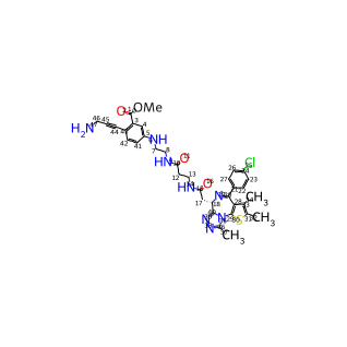 COC(=O)c1cc(NCCNC(=O)CCNC(=O)C[C@@H]2N=C(c3ccc(Cl)cc3)c3c(sc(C)c3C)-n3c(C)nnc32)ccc1C#CCN